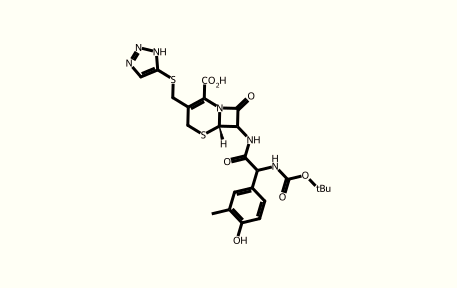 Cc1cc(C(NC(=O)OC(C)(C)C)C(=O)NC2C(=O)N3C(C(=O)O)=C(CSc4cnn[nH]4)CS[C@@H]23)ccc1O